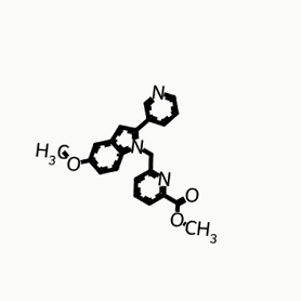 COC(=O)c1cccc(Cn2c(-c3cccnc3)cc3cc(OC)ccc32)n1